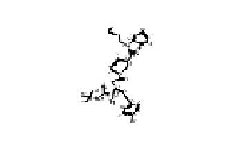 CCCCn1c([C@@H]2CCCN(C(=O)C[C@@H](Cc3ccc(Br)cc3)NC(=O)OC(C)(C)C)C2)nc2ccccc21